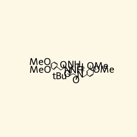 COc1ccc(CNC(=O)C(COC(C)(C)C)NC(N)=NC(=O)Cc2ccc(OC)c(OC)c2)cc1OC